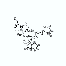 C=CC(=O)N1CCN(c2nc(OCC3CCCN3C)nc3c2CCC2(CCOc4ccccc42)C3)C[C@@H]1CC#N